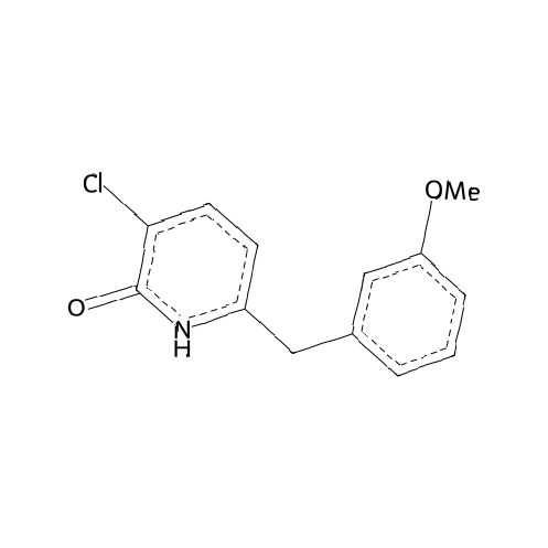 COc1cccc(Cc2ccc(Cl)c(=O)[nH]2)c1